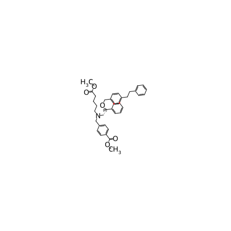 COC(=O)CCCCN(Cc1ccc(C(=O)OC)cc1)C[C@H](OCc1ccc(CCc2ccccc2)cc1)c1ccccc1